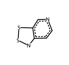 c1cc2c(cn1)SS[N]2